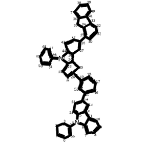 C1=CCCC(n2c3ccccc3c3cc(-c4cccc(C5=CC=C6C(C5)C5C=C(c7cccc8c7Cc7ccccc7-8)C=CC5N6c5ccccc5)c4)ccc32)=C1